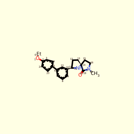 CCOc1ccc(-c2cccc([C@H]3CC[C@]4(CCN(C)C4=O)N3)c2)cc1